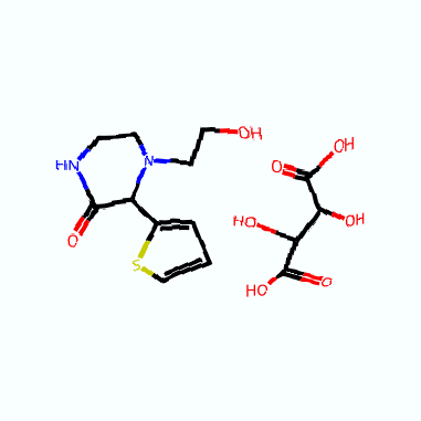 O=C(O)C(O)C(O)C(=O)O.O=C1NCCN(CCO)C1c1cccs1